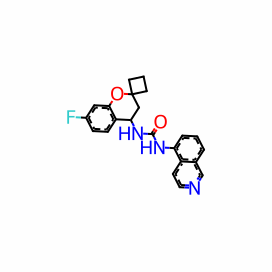 O=C(Nc1cccc2cnccc12)NC1CC2(CCC2)Oc2cc(F)ccc21